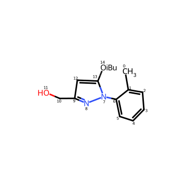 Cc1ccccc1-n1nc(CO)cc1OCC(C)C